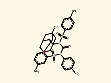 O=C(N(c1ccc([N+](=O)[O-])cc1)S(=O)(=O)c1cccc([N+](=O)[O-])c1)N(C12CC3CC(CC(C(=O)O)(C3)C1)C2)S(=O)(=O)c1ccc([N+](=O)[O-])cc1